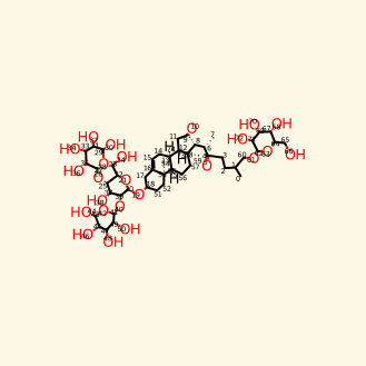 CC(CCC(=O)[C@@H](C)[C@H]1C(=O)C[C@H]2[C@@H]3CC=C4CC(O[C@@H]5OC(CO)[C@@H](O[C@@H]6OC(O)[C@H](O)C(O)[C@@H]6O)C(O)[C@@H]5O[C@@H]5OC(O)[C@H](O)C(O)[C@@H]5O)CC[C@]4(C)[C@H]3CC[C@]12C)CO[C@@H]1OC(CO)[C@@H](O)C(O)[C@@H]1O